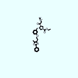 CCOC(=O)N1C[C@H](Cc2cccc(OCCc3nc(-c4ccccc4)oc3C)c2)[C@@H](C(=O)C=[N+]=[N-])C1